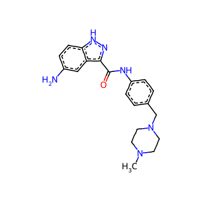 CN1CCN(Cc2ccc(NC(=O)c3n[nH]c4ccc(N)cc34)cc2)CC1